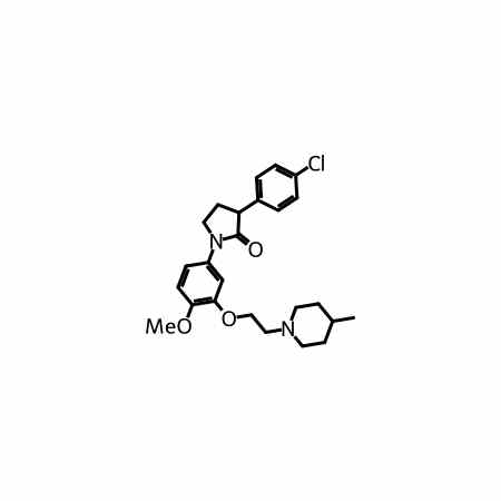 COc1ccc(N2CCC(c3ccc(Cl)cc3)C2=O)cc1OCCN1CCC(C)CC1